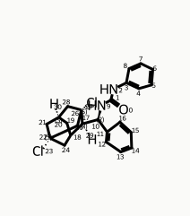 O=C(Nc1ccccc1)N[C@@H](c1ccccc1)[C@H]1C2C[C@H]3C[C@](Cl)(C2)C[C@@]1(Cl)C3